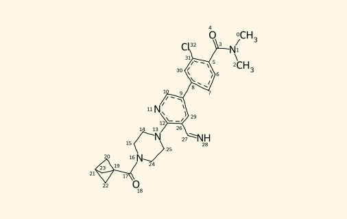 CN(C)C(=O)c1ccc(-c2cnc(N3CCN(C(=O)C45CC(C4)C5)CC3)c(C=N)c2)cc1Cl